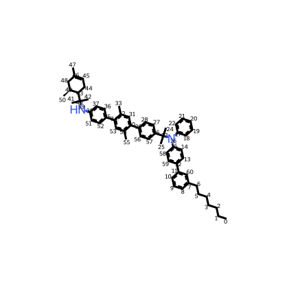 CCCCCCCc1cccc(-c2ccc(N(c3ccccc3)C(C)(C)c3ccc(-c4cc(C)c(-c5ccc(NC(C)(C)C6CC=C(C)C[C@@H]6C)cc5)cc4C)cc3)cc2)c1